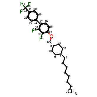 CCCCCCCC[C@H]1CC[C@H](COc2ccc(-c3ccc(C(F)(F)F)cc3)c(F)c2F)CC1